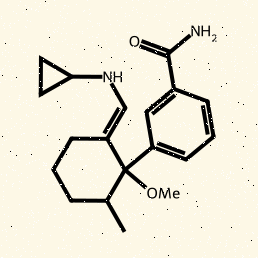 COC1(c2cccc(C(N)=O)c2)/C(=C/NC2CC2)CCCC1C